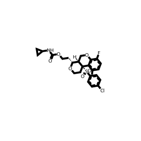 O=C(NC1CC1)OCC[C@H]1OCC[C@]2(S(=O)(=O)c3ccc(Cl)cc3)c3c(F)ccc(F)c3OC[C@H]12